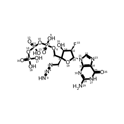 N=[N+]=NC[C@]1(COP(=O)(O)OP(=O)(O)OP(=O)(O)O)O[C@@H](n2cnc3c(=O)[nH]c(N)nc32)[C@H](F)[C@@H]1O